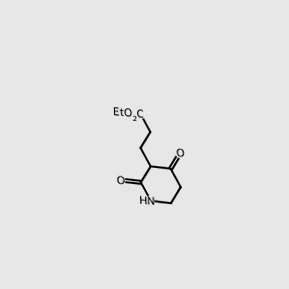 CCOC(=O)CCC1C(=O)CCNC1=O